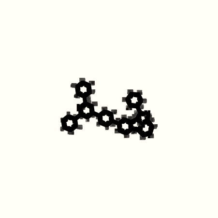 c1ccc(-c2cc(-c3ccc(-c4ccc5c(c4)c4c(-c6ccccc6)nc6cccc5n64)cc3)cc(-c3ccccc3)n2)cc1